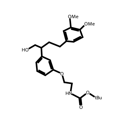 COc1ccc(CCC(CO)c2cccc(OCCNC(=O)OC(C)(C)C)c2)cc1OC